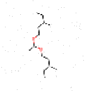 CCC(C)CCO[C](C)OCCC(C)CC